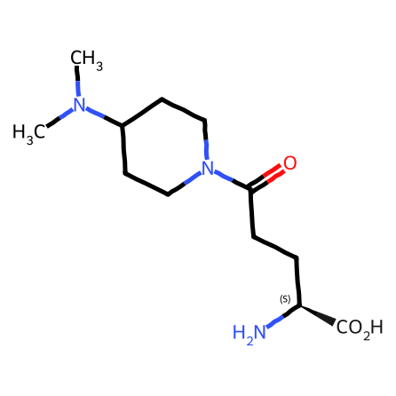 CN(C)C1CCN(C(=O)CC[C@H](N)C(=O)O)CC1